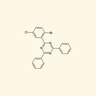 Clc1ccc(Br)c(-c2nc(-c3ccccc3)nc(-c3ccccc3)n2)c1